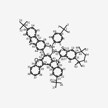 CC(C)(C)c1ccc(N2B3c4sc5cc6c(cc5c4-n4c5ccc(C(C)(C)C)cc5c5c7c(oc8ccccc87)c(c3c54)-c3cc4sc5cc(C(C)(C)C)ccc5c4cc32)C(C)(C)CCC6(C)C)cc1